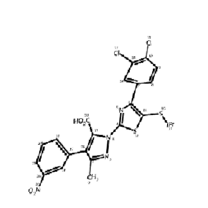 Cc1nn(-c2nc(-c3ccc(Cl)c(Cl)c3)c(SC(C)C)s2)c(C(=O)O)c1-c1cccc([N+](=O)[O-])c1